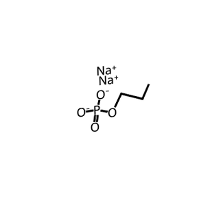 CCCOP(=O)([O-])[O-].[Na+].[Na+]